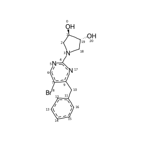 O[C@@H]1CN(c2ncc(Br)c(Cc3ccccc3)n2)C[C@H]1O